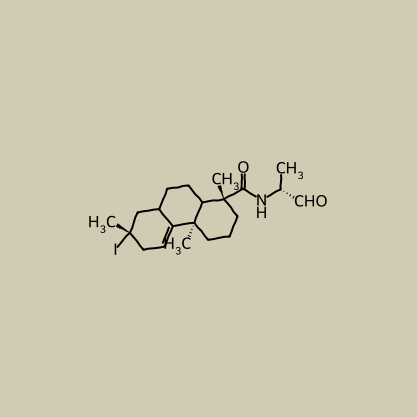 C[C@H](C=O)NC(=O)[C@]1(C)CCC[C@@]2(C)C3=CC[C@](C)(I)CC3CCC12